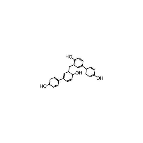 OC1=CCC(c2ccc(O)c(CC3C=C(C4=CCC(O)C=C4)C=CC3O)c2)C=C1